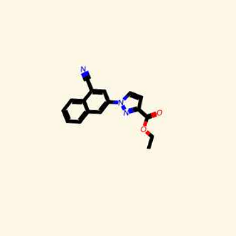 CCOC(=O)c1ccn(-c2cc(C#N)c3ccccc3c2)n1